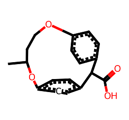 CC1CCOc2ccc(cc2)C(C(=O)O)c2ccc(cc2)O1